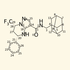 O=C(NCC12CC3CC(CC(C3)C1)C2)c1cnn2c1N[C@H](c1ccccc1)C[C@@H]2C(F)(F)F